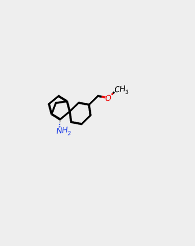 COCC1CCCC2(C1)C1CCC(C1)[C@H]2N